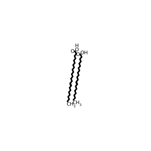 CCCCCCCCC=CCCCCCCCCCCCC(=O)O.CCCCCCCCC=CCCCCCCCCCCCCCC(=O)O